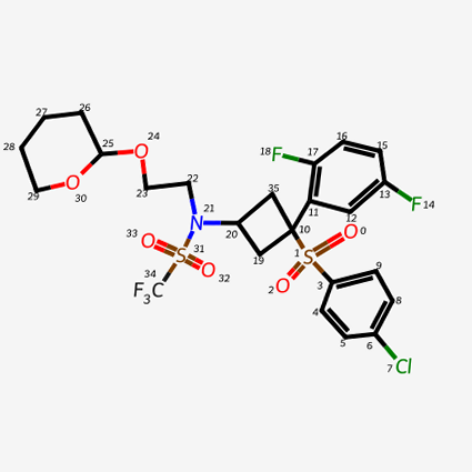 O=S(=O)(c1ccc(Cl)cc1)C1(c2cc(F)ccc2F)CC(N(CCOC2CCCCO2)S(=O)(=O)C(F)(F)F)C1